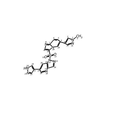 Cn1cc(-c2ccc3ncc(S(=O)(=O)n4ncc5ncc(-c6cn[nH]c6)cc54)n3c2)cn1